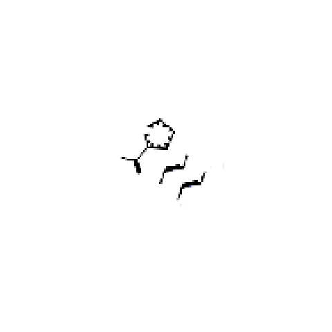 N=C(N)c1cccs1.O=C(O)/C=C/C(=O)O.O=C(O)/C=C/C(=O)O